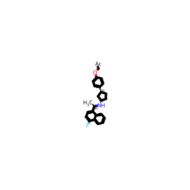 CC(=O)COc1ccc([C@H]2CC[C@H](N[C@H](C)c3ccc(F)c4ccccc34)C2)cc1